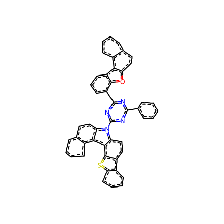 c1ccc(-c2nc(-c3cccc4c3oc3ccc5ccccc5c34)nc(-n3c4ccc5ccccc5c4c4c5sc6ccccc6c5ccc43)n2)cc1